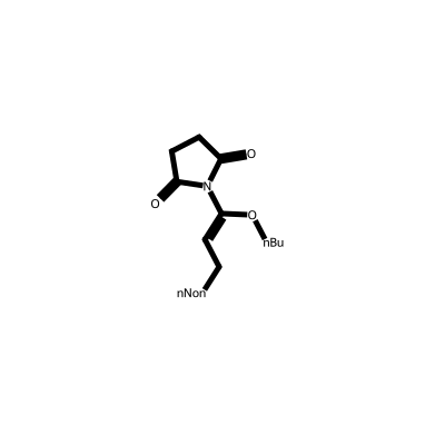 CCCCCCCCCCC=C(OCCCC)N1C(=O)CCC1=O